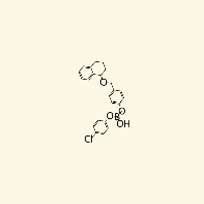 OB(Oc1ccc(Cl)cc1)Oc1ccc(COC2CCCc3ccccc32)cc1